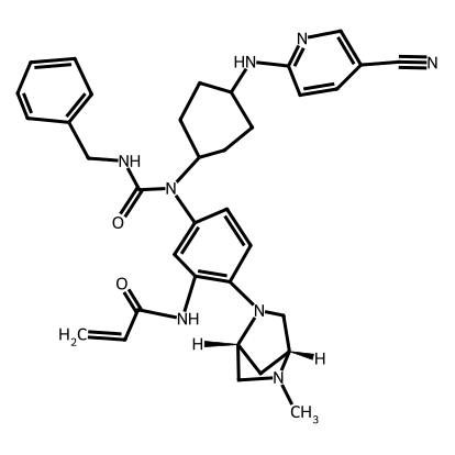 C=CC(=O)Nc1cc(N(C(=O)NCc2ccccc2)C2CCC(Nc3ccc(C#N)cn3)CC2)ccc1N1C[C@H]2C[C@@H]1CN2C